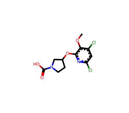 COc1c(Cl)cc(Cl)nc1OC1CCN(C(=O)O)C1